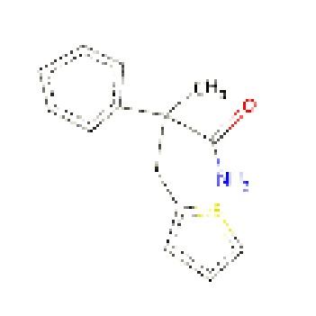 CC(Cc1cccs1)(C(N)=O)c1ccccc1